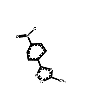 Cc1nc(-c2ccc([N+](=O)[O-])cc2)no1